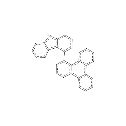 c1ccc2c(c1)[se]c1cccc(-c3cccc4c5ccccc5c5ccccc5c34)c12